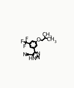 CC(C)COc1cc(-c2nn[nH]c2C#N)cc(C(F)(F)F)c1